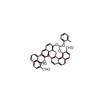 Cc1ccccc1OP(Oc1ccccc1C=O)Oc1ccc2ccccc2c1Sc1c(OP(Oc2ccccc2C=O)Oc2ccccc2C=O)ccc2ccccc12